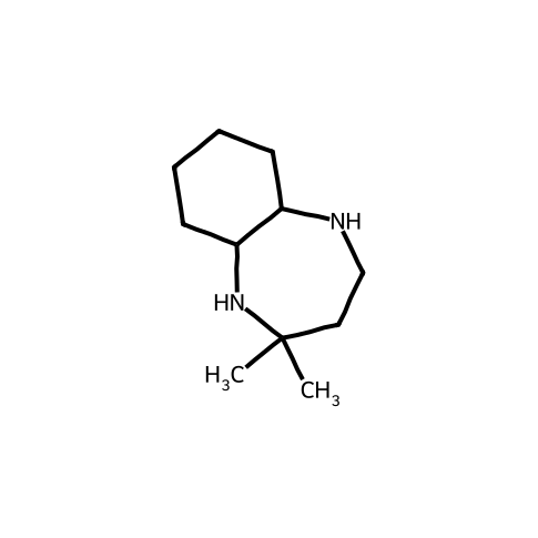 CC1(C)CCNC2CCCCC2N1